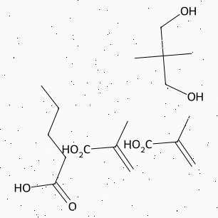 C=C(C)C(=O)O.C=C(C)C(=O)O.CC(C)(CO)CO.CCCCC(=O)O